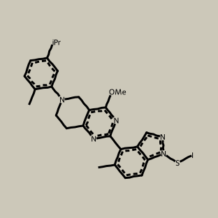 COc1nc(-c2c(C)ccc3c2cnn3SI)nc2c1CN(c1cc(C(C)C)ccc1C)CC2